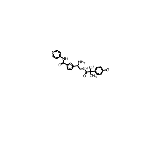 CC(C)(C(=O)NCC(N)c1ccc(C(=O)Nc2ccncc2)s1)c1ccc(Cl)cc1